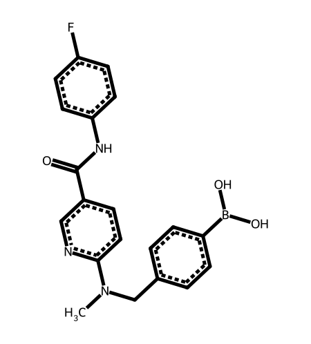 CN(Cc1ccc(B(O)O)cc1)c1ccc(C(=O)Nc2ccc(F)cc2)cn1